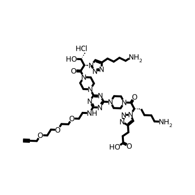 C#CCOCCOCCOCCNc1nc(N2CCN(C(=O)[C@H]([C@@H](C)O)n3cc(CCCCN)nn3)CC2)nc(N2CCN(C(=O)[C@H](CCCCN)n3cc(CCC(=O)O)nn3)CC2)n1.Cl